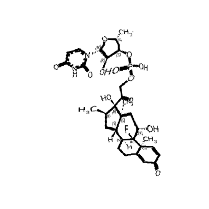 [CH2][C@H]1O[C@@H](n2ccc(=O)[nH]c2=O)[C@H](O)[C@@H]1OP(=O)(O)OCC(=O)[C@@]1(O)[C@H](C)C[C@H]2[C@@H]3CCC4=CC(=O)C=C[C@]4(C)[C@@]3(F)[C@@H](O)C[C@@]21C